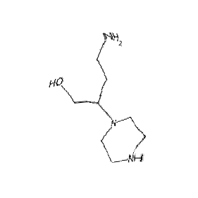 NCCC(CO)N1CCNCC1